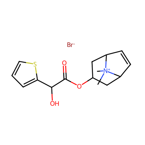 C[N+]1(C)C2C=CC1CC(OC(=O)C(O)c1cccs1)C2.[Br-]